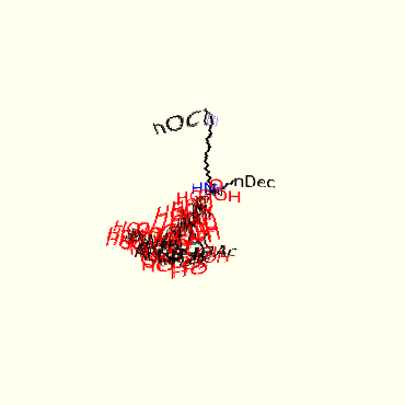 CCCCCCCC/C=C\CCCCCCCCCCCCCC(=O)N[C@@H](CO[C@@H]1OC(CO)[C@@H](O[C@@H]2OC(CO)[C@H](O[C@@H]3OC(CO)[C@H](O[C@@H]4OC(CO)[C@H](O)[C@H](O[C@@H]5OC(CO)[C@H](O)[C@H](O)C5O)C4NC(C)=O)[C@H](O[C@@H]4OC(CO)[C@H](O)[C@H](O[C@H]5OC(CO)[C@H](O)[C@H](O)C5NC(C)=O)C4NC(C)=O)C3O)[C@H](O)C2O)[C@H](O)C1O)[C@H](O)/C=C/CCCCCCCCCCCCC